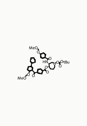 COCOc1ccc(C(=O)N[C@@H]2CN(OC(=O)OC(C)(C)C)CCC[C@H]2OC(=O)c2ccc(C(=O)c3cc(-c4ccccc4)ccc3OCOC)cc2)cc1